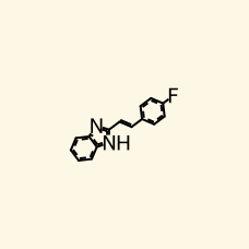 Fc1ccc(C=Cc2nc3ccccc3[nH]2)cc1